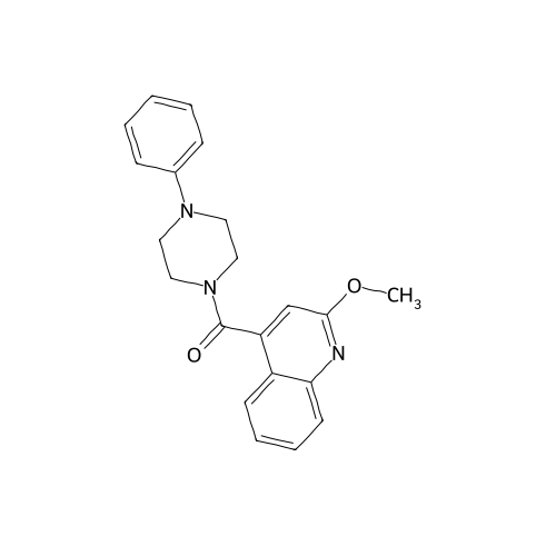 COc1cc(C(=O)N2CCN(c3ccccc3)CC2)c2ccccc2n1